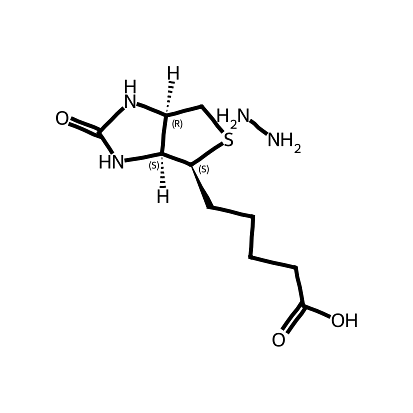 NN.O=C(O)CCCC[C@@H]1SC[C@@H]2NC(=O)N[C@@H]21